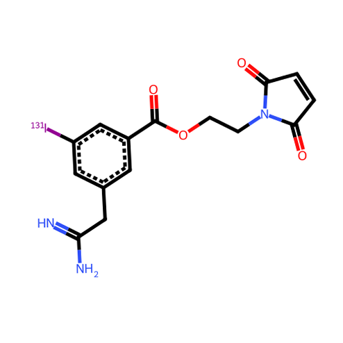 N=C(N)Cc1cc([131I])cc(C(=O)OCCN2C(=O)C=CC2=O)c1